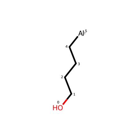 OCCC[CH2][Al]